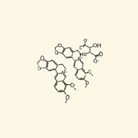 COc1ccc2cc3[n+](cc2c1OC)CCc1cc2c(cc1-3)OCO2.COc1ccc2cc3[n+](cc2c1OC)CCc1cc2c(cc1-3)OCO2.O=C([O-])C(O)C(O)C(=O)[O-]